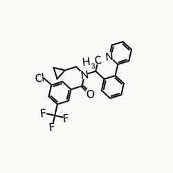 CC(c1ccccc1-c1ccccn1)N(CC1CC1)C(=O)c1cc(Cl)cc(C(F)(F)F)c1